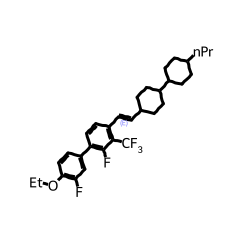 CCCC1CCC(C2CCC(/C=C/c3ccc(-c4ccc(OCC)c(F)c4)c(F)c3C(F)(F)F)CC2)CC1